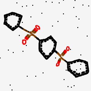 O=S(=O)(c1ccccc1)c1ccc(S(=O)(=O)c2ccccc2)cc1